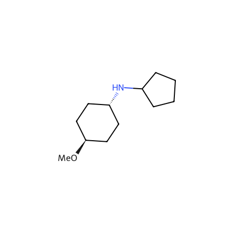 CO[C@H]1CC[C@H](NC2CCCC2)CC1